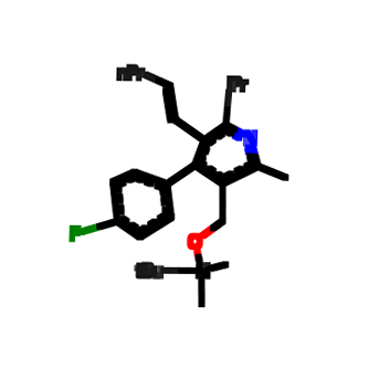 CCC/C=C/c1c(C(C)C)nc(C)c(CO[Si](C)(C)C(C)(C)C)c1-c1ccc(F)cc1